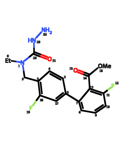 CCN(Cc1ccc(-c2cccc(F)c2C(=O)OC)cc1F)C(=O)NN